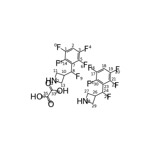 Fc1cc(F)c(F)c(C(F)C2CNC2)c1F.Fc1cc(F)c(F)c(C(F)C2CNC2)c1F.O=C(O)C(=O)O